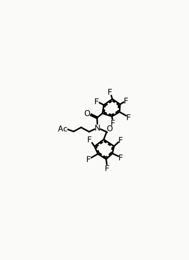 CC(=O)CCCN(C(=O)c1c(F)c(F)c(F)c(F)c1F)C(=O)c1c(F)c(F)c(F)c(F)c1F